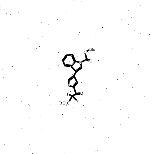 CCOC(=O)C(F)(F)C(=O)c1cc(-c2cn(C(=O)OC(C)(C)C)c3ccccc23)cs1